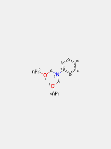 CCCOCN(COCCC)c1ccccc1